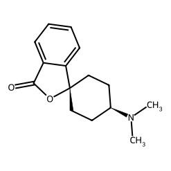 CN(C)[C@H]1CC[C@@]2(CC1)OC(=O)c1ccccc12